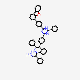 N=C/C(=C1\NC(c2ccccc2)=C(c2ccc(-c3nc(-c4ccccc4)nc(-c4ccc(-c5cccc6c5oc5ccccc56)cc4)n3)cc2)c2ccccc21)c1ccccc1